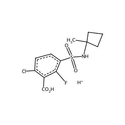 CC1(NS(=O)(=O)c2ccc(Cl)c(C(=O)O)c2F)CCC1.[H+]